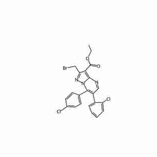 CCOC(=O)c1c(CBr)nn2c(-c3ccc(Cl)cc3)c(-c3ccccc3Cl)cnc12